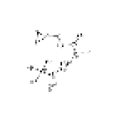 C[C@H](N)C(=O)OCC1CC1.O=C(O)C(F)(F)F